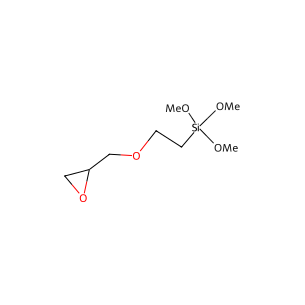 CO[Si](CCOCC1CO1)(OC)OC